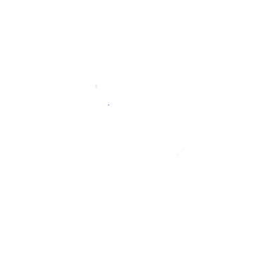 CC(NC1CCCc2c1[nH]c1ccc(-c3coc4ccccc34)cc21)c1ccccc1